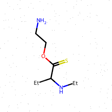 CCNC(CC)C(=S)OCCN